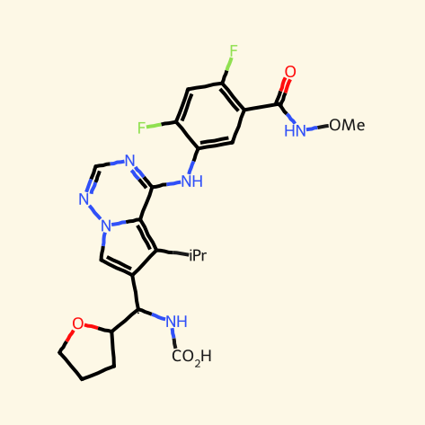 CONC(=O)c1cc(Nc2ncnn3cc([C](NC(=O)O)C4CCCO4)c(C(C)C)c23)c(F)cc1F